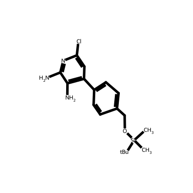 CC(C)(C)[Si](C)(C)OCc1ccc(-c2cc(Cl)nc(N)c2N)cc1